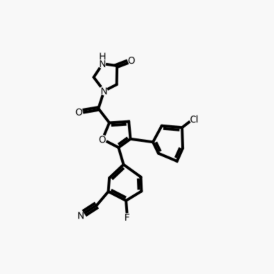 N#Cc1cc(-c2oc(C(=O)N3CNC(=O)C3)cc2-c2cccc(Cl)c2)ccc1F